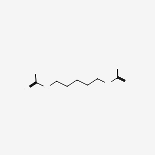 O=C(F)OCCCCCOC(=O)F